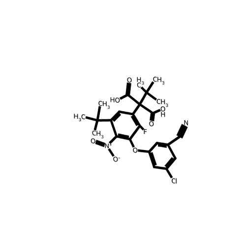 CC(C)(C)c1cc(C(C(=O)O)(C(=O)O)C(C)(C)C)c(F)c(Oc2cc(Cl)cc(C#N)c2)c1[N+](=O)[O-]